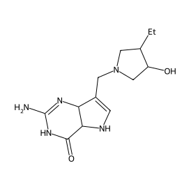 CCC1CN(CC2=CNC3C(=O)NC(N)=NC23)CC1O